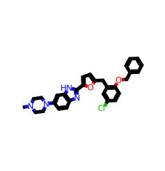 CN1CCN(c2ccc3nc(-c4ccc(Cc5cc(Cl)ccc5OCc5ccccc5)o4)[nH]c3c2)CC1